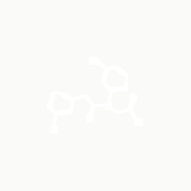 CCC(=O)CN(C(=O)Cc1cccc(Cl)c1)c1cccc(C(C)C)c1